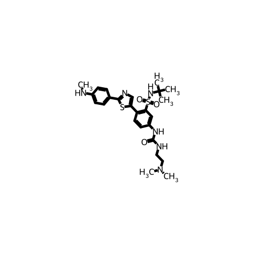 CNc1ccc(-c2ncc(-c3ccc(NC(=O)NCCN(C)C)cc3S(=O)(=O)NC(C)(C)C)s2)cc1